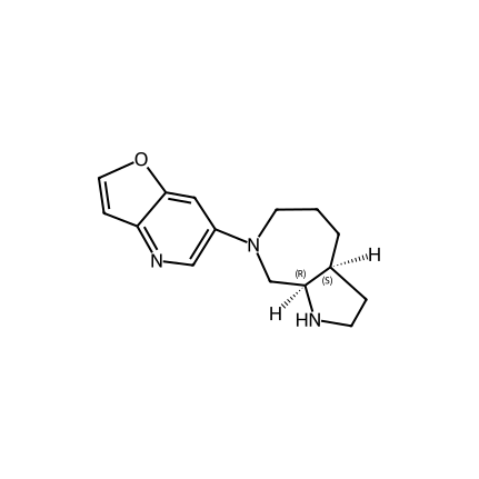 c1cc2ncc(N3CCC[C@H]4CCN[C@H]4C3)cc2o1